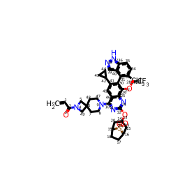 C=CC(=O)N1CC2(CCN(c3nc(OC4CC5CCC(C4)S5(=O)=O)nc4c(OCC(F)(F)F)c(-c5c(C)ccc6[nH]ncc56)c(C5CC5)cc34)CC2)C1